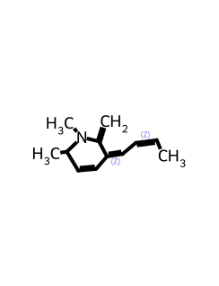 C=C1/C(=C\C=C/C)C=CC(C)N1C